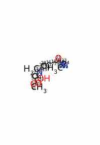 COC(=O)c1cccc(/N=C(\C)c2ccc(CCCCC(=O)c3ccnn3C)cc2)c1O